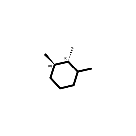 CC1CCC[C@@H](C)[C@@H]1C